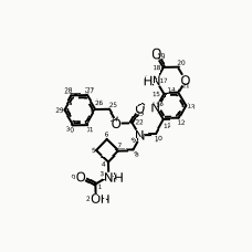 O=C(O)NC1CCC1CN(Cc1ccc2c(n1)NC(=O)CO2)C(=O)OCc1ccccc1